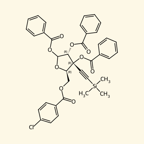 C[Si](C)(C)C#C[C@@]1(OC(=O)c2ccccc2)[C@@H](COC(=O)c2ccc(Cl)cc2)OC(OC(=O)c2ccccc2)[C@@H]1OC(=O)c1ccccc1